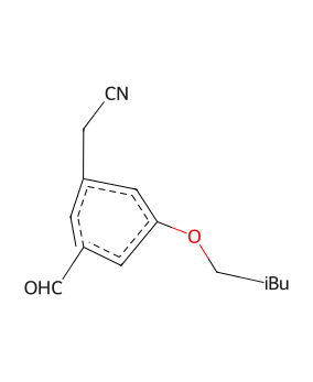 CCC(C)COc1cc(C=O)cc(CC#N)c1